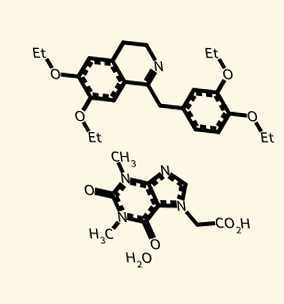 CCOc1ccc(CC2=NCCc3cc(OCC)c(OCC)cc32)cc1OCC.Cn1c(=O)c2c(ncn2CC(=O)O)n(C)c1=O.O